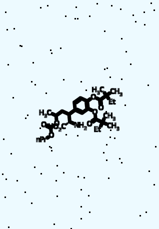 CCCOC(=O)OC(C)CC(c1ccc(OC(=O)C(C)(C)CC)c(OC(=O)C(C)(C)CC)c1)[C@H](N)C(=O)O